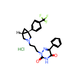 Cl.O=c1[nH]c(=O)n(CCCN2C[C@@H]3C[C@]3(c3ccc(C(F)(F)F)cc3)C2)nc1-c1ccccc1